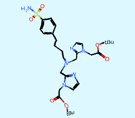 CC(C)(C)OC(=O)Cn1ccnc1CN(CCCCc1ccc(S(N)(=O)=O)cc1)Cc1nccn1CC(=O)OC(C)(C)C